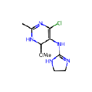 COC1NC(C)=NC(Cl)=C1NC1=NCCN1